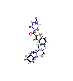 CCC(Nc1ccc2sc(C(=O)N3CCN(C)CC3)cc2c1)C(C)c1nc2ccccc2[nH]1